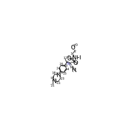 COCCNS(=O)(=O)/C(C#N)=C(\C)c1ccc(N2CCN(C)CC2)cc1